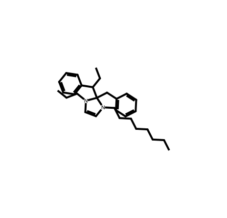 CCCCCCCCN1C=CN(CCC)C1(Cc1ccccc1)C(CC)c1ccccc1